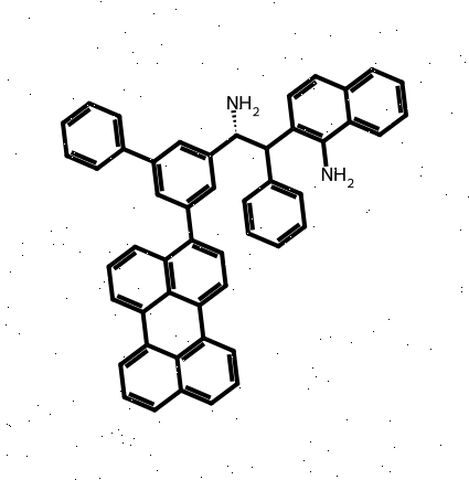 Nc1c(C(c2ccccc2)[C@@H](N)c2cc(-c3ccccc3)cc(-c3ccc4c5cccc6cccc(c7cccc3c74)c65)c2)ccc2ccccc12